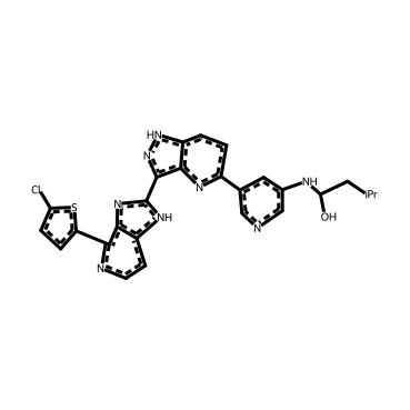 CC(C)CC(O)Nc1cncc(-c2ccc3[nH]nc(-c4nc5c(-c6ccc(Cl)s6)nccc5[nH]4)c3n2)c1